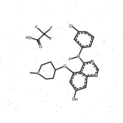 CN1CCC(Oc2cc(O)cc3ncnc(N(F)c4cccc(Cl)c4)c23)CC1.O=C(O)C(F)(F)F